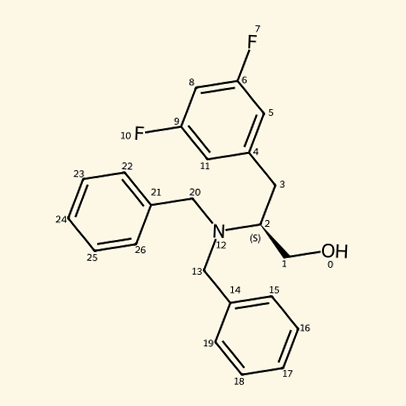 OC[C@H](Cc1cc(F)cc(F)c1)N(Cc1ccccc1)Cc1ccccc1